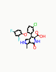 Cc1[nH]cc2c(-c3cc(Cl)ccc3Oc3ccc(F)cc3F)c(C(=O)O)[nH]c(=O)c12